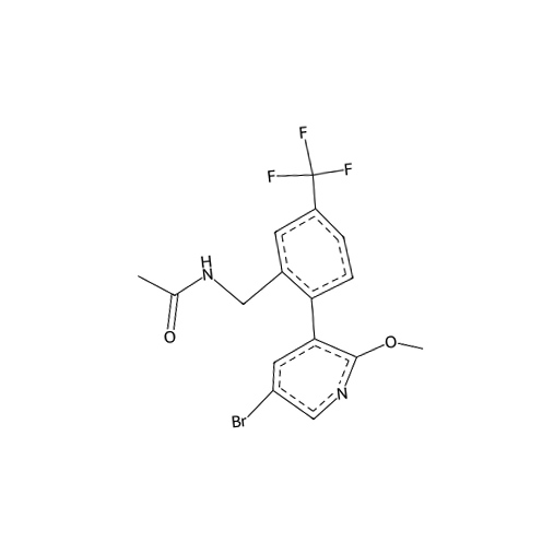 COc1ncc(Br)cc1-c1ccc(C(F)(F)F)cc1CNC(C)=O